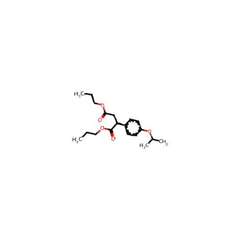 CCCOC(=O)CC(C(=O)OCCC)c1ccc(OC(C)C)cc1